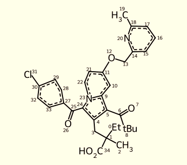 CCC(C)(Cc1c(C(=O)C(C)(C)C)c2cc(OCc3cccc(C)n3)ccn2c1C(=O)c1ccc(Cl)cc1)C(=O)O